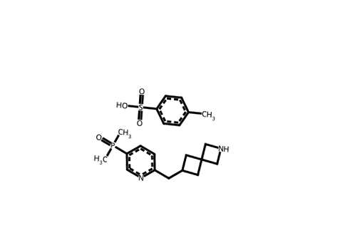 CP(C)(=O)c1ccc(CC2CC3(CNC3)C2)nc1.Cc1ccc(S(=O)(=O)O)cc1